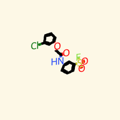 O=C(COc1cccc(Cl)c1)Nc1cccc(S(=O)(=O)F)c1